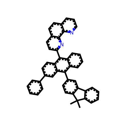 CC1(C)c2ccccc2-c2cc(-c3c4ccccc4c(-c4ccc5ccc6cccnc6c5n4)c4ccc(-c5ccccc5)cc34)ccc21